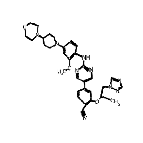 COc1cc(N2CCC(N3CCOCC3)CC2)ccc1Nc1ncc(-c2ccc(C#N)c(OC(C)Cn3cncn3)c2)cn1